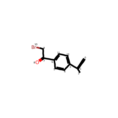 C=C(C)c1ccc(C(=O)CBr)cc1